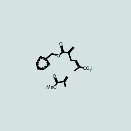 C=C(C)C(=O)OC.C=C(CC=C(C)C(=O)O)C(=O)OCc1ccccc1